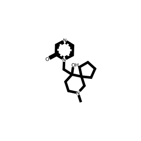 CN1CCC(O)(Cn2ccncc2=O)C2(CCCC2)C1